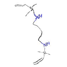 C=C[Si](C)(C)NCCCN[Si](C)(C)C=C